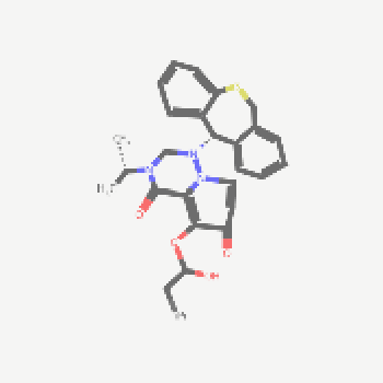 CC(C)CC(O)Oc1c2n(ccc1=O)N([C@H]1c3ccccc3CSc3ccccc31)CN([C@H](C)C(F)(F)F)C2=O